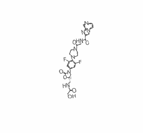 O=C(CO)NC[C@H]1CN(c2cc(F)c(N3CCN(C(=O)CNC(=O)c4cn5ccncc5n4)CC3)c(F)c2)C(=O)O1